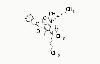 CCCCCCN(C(C)=O)c1c(I)c(C(=O)OCc2ccccc2)c(I)c(N(CCCCCC)C(C)=O)c1I